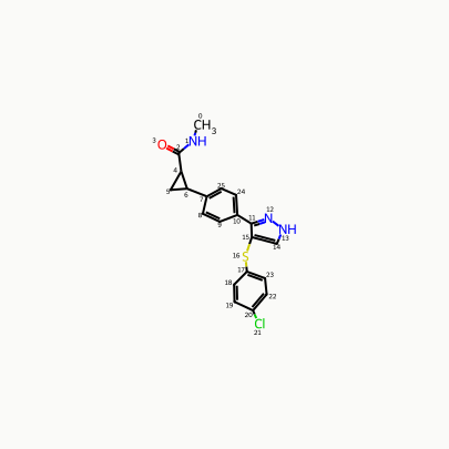 CNC(=O)C1CC1c1ccc(-c2n[nH]cc2Sc2ccc(Cl)cc2)cc1